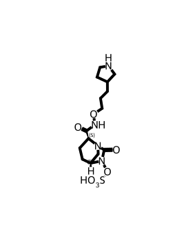 O=C(NOCCCC1CCNC1)[C@@H]1CC[C@@H]2CN1C(=O)N2OS(=O)(=O)O